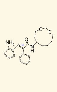 Nc1ccccc1/C=C(/C(=O)NC1CCCCCCCCC1)c1ccccc1